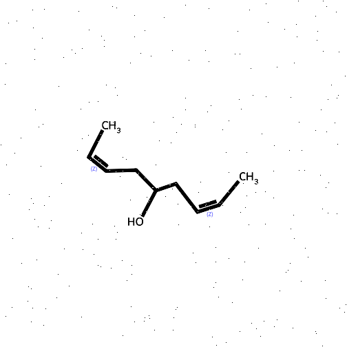 C/C=C\CC(O)C/C=C\C